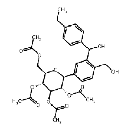 CCc1ccc(C(O)c2cc([C@@H]3O[C@H](COC(C)=O)[C@@H](OC(C)=O)[C@H](OC(C)=O)[C@H]3OC(C)=O)ccc2CO)cc1